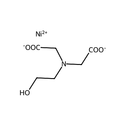 O=C([O-])CN(CCO)CC(=O)[O-].[Ni+2]